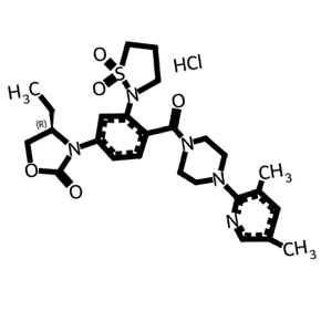 CC[C@@H]1COC(=O)N1c1ccc(C(=O)N2CCN(c3ncc(C)cc3C)CC2)c(N2CCCS2(=O)=O)c1.Cl